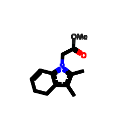 COC(=O)Cn1c(C)c(C)c2c1C=CCC2